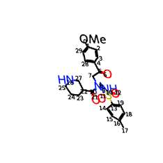 COc1ccc(C(=O)CN(NS(=O)(=O)c2ccc(C)cc2)C(=O)C2CCCNC2)cc1